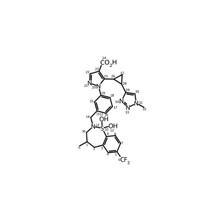 CC1Cc2cc(C(F)(F)F)ccc2S(O)(O)N(Cc2cccc(-n3ncc(C(=O)O)c3C3CC3c3cn(C)nn3)c2)C1